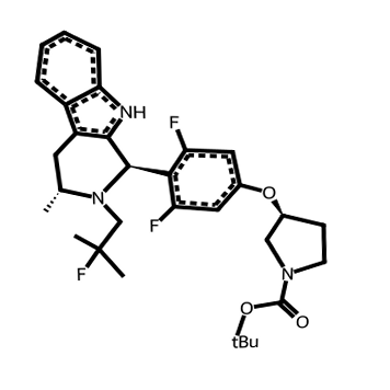 C[C@@H]1Cc2c([nH]c3ccccc23)[C@@H](c2c(F)cc(O[C@H]3CCN(C(=O)OC(C)(C)C)C3)cc2F)N1CC(C)(C)F